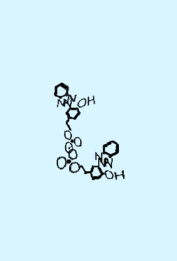 O=C(OCCc1ccc(O)c(-n2nc3ccccc3n2)c1)OOC(=O)OCCc1ccc(O)c(-n2nc3ccccc3n2)c1